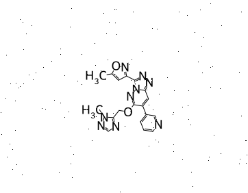 Cc1cc(-c2nnc3cc(-c4cccnc4)c(OCc4ncnn4C)nn23)no1